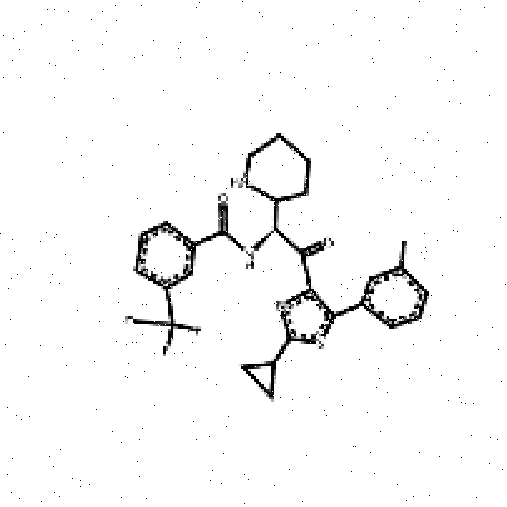 Cc1cccc(-c2sc(C3CC3)nc2C(=O)[C@@H](NC(=O)c2cccc(C(F)(F)F)c2)C2CCCCN2)c1